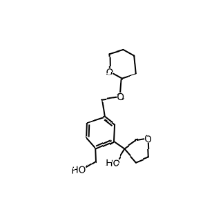 OCc1ccc(COC2CCCCO2)cc1C1(O)CCOC1